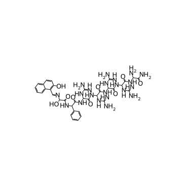 N=C(N)NC(NC(=O)C(NC(=N)N)NC(=O)C(NC(=N)N)NC(=O)C(NC(=N)N)NC(=O)C(NC(=O)C(O)/N=C/c1c(O)ccc2ccccc12)c1ccccc1)C(=O)NC(N)C(N)=O